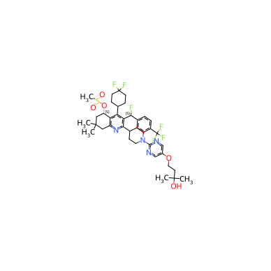 CC(C)(O)CCOc1cnc(N2CCC(c3nc4c(c(C5CCC(F)(F)CC5)c3[C@@H](F)c3ccc(C(F)(F)F)cc3)[C@@H](OS(C)(=O)=O)CC(C)(C)C4)CC2)nc1